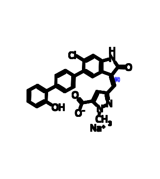 Cn1nc(/C=C2/C(=O)Nc3cc(Cl)c(-c4ccc(-c5ccccc5O)cc4)cc32)cc1C(=O)[O-].[Na+]